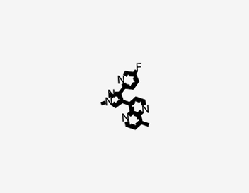 Cc1ccnc2c(-c3cn(C)nc3-c3ccc(F)cn3)ccnc12